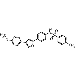 COc1ccc(-c2cc(-c3ccc(NS(=O)(=O)c4ccc(C)cc4)cc3)on2)cc1